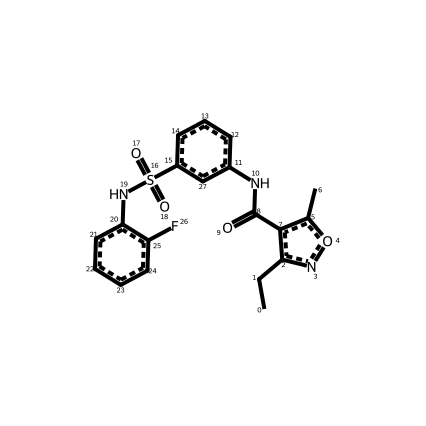 CCc1noc(C)c1C(=O)Nc1cccc(S(=O)(=O)Nc2ccccc2F)c1